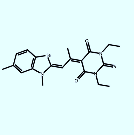 CCN1C(=O)C(=C(C)C=C2[Te]c3ccc(C)cc3N2C)C(=O)N(CC)C1=S